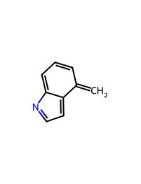 C=c1cccc2c1=CC=N2